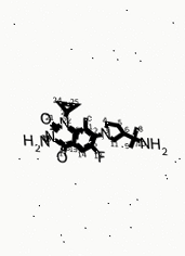 Cc1c(N2CCC(C(C)(C)N)C2)c(F)cc2c(=O)n(N)c(=O)n(C3CC3)c12